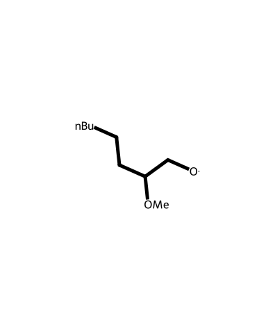 CCCCCCC(C[O])OC